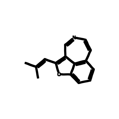 CC(C)=Cc1oc2cccc3c2c1C=NC=C3